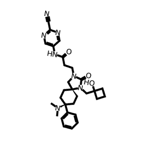 CN(C)[C@]1(c2ccccc2)CC[C@@]2(CC1)CN(CCC(=O)Nc1cnc(C#N)nc1)C(=O)N2CC1(O)CCC1